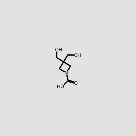 O=C(O)N1CC(CO)(CO)C1